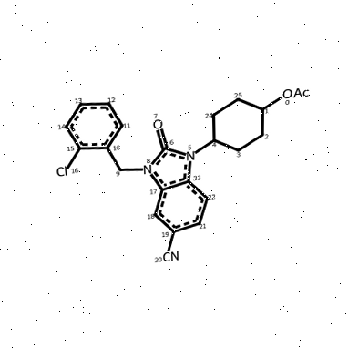 CC(=O)OC1CCC(n2c(=O)n(Cc3ccccc3Cl)c3cc(C#N)ccc32)CC1